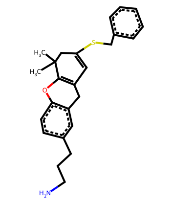 CC1(C)CC(SCc2ccccc2)=CC2=C1Oc1ccc(CCCN)cc1C2